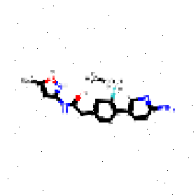 CC(C)(C)c1cc(NC(=O)Cc2ccc(-c3ccc(N)nc3)c(F)c2)no1.CS(=O)(=O)O